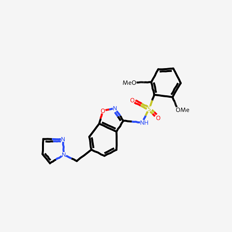 COc1cccc(OC)c1S(=O)(=O)Nc1noc2cc(Cn3cccn3)ccc12